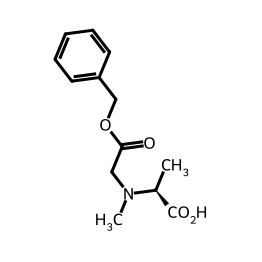 C[C@@H](C(=O)O)N(C)CC(=O)OCc1ccccc1